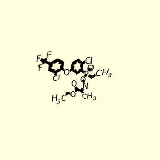 CCOC(=O)C(C)=NOP(=O)(CC)c1cc(Oc2ccc(C(F)(F)F)cc2Cl)ccc1Cl